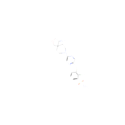 N[C@@H]1COCC12CCN(c1cnc(Sc3cccc(S(N)(=O)=O)c3Cl)cn1)CC2